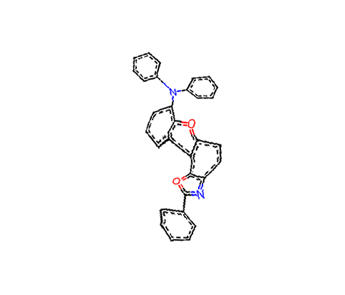 c1ccc(-c2nc3ccc4oc5c(N(c6ccccc6)c6ccccc6)cccc5c4c3o2)cc1